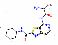 CC(N)C(=O)Nc1nccc2nc(C(=O)NC3CCCCC3)sc12